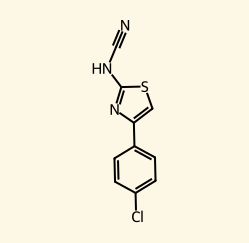 N#CNc1nc(-c2ccc(Cl)cc2)cs1